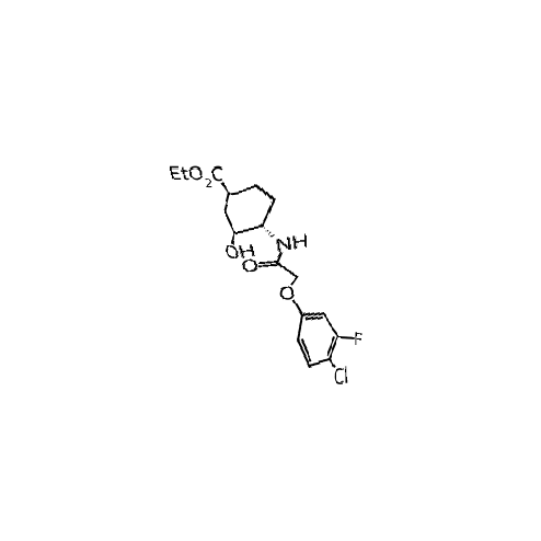 CCOC(=O)[C@H]1CC[C@H](NC(=O)COc2ccc(Cl)c(F)c2)[C@@H](O)C1